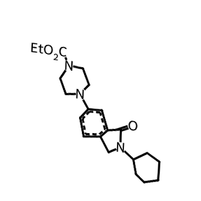 CCOC(=O)N1CCN(c2ccc3c(c2)C(=O)N(C2CCCCC2)C3)CC1